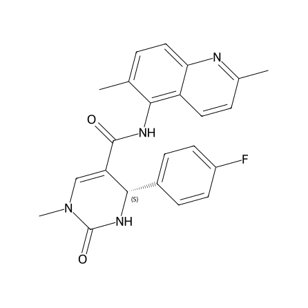 Cc1ccc2c(NC(=O)C3=CN(C)C(=O)N[C@H]3c3ccc(F)cc3)c(C)ccc2n1